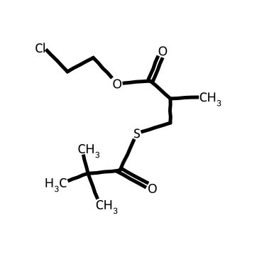 CC(CSC(=O)C(C)(C)C)C(=O)OCCCl